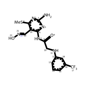 CSc1nc(N)nc(NC(=O)CNc2cccc(C(F)(F)F)c2)c1/C=N/O